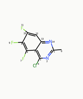 Cc1nc(Cl)c2c(F)c(F)c(F)cc2n1